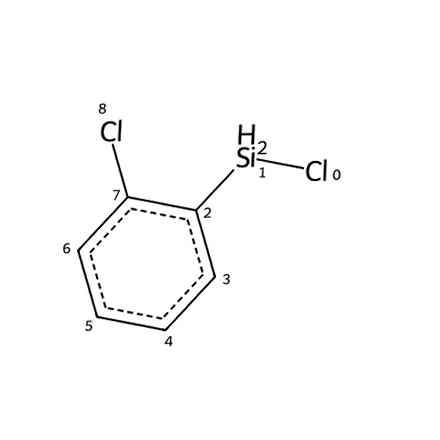 Cl[SiH2]c1ccccc1Cl